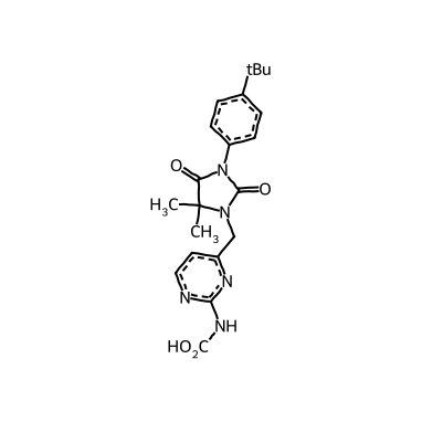 CC(C)(C)c1ccc(N2C(=O)N(Cc3ccnc(NC(=O)O)n3)C(C)(C)C2=O)cc1